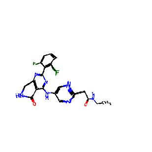 CCNC(=O)Cc1ncc(Nc2nc(-c3c(F)cccc3F)nc3c2C(=O)NC3)cn1